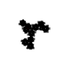 c1ccc(-c2ccc(N(c3ccc(-c4cccc5c4oc4ccccc45)cc3)c3ccc(-c4ccc(-c5ccccc5)c(-c5ccccc5)c4)cc3-c3ccccc3)cc2)cc1